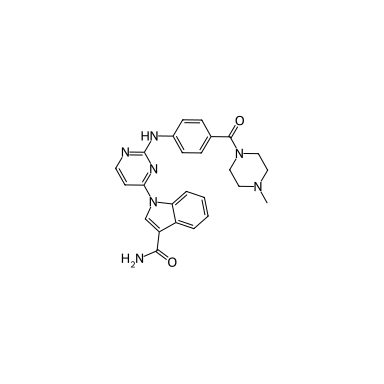 CN1CCN(C(=O)c2ccc(Nc3nccc(-n4cc(C(N)=O)c5ccccc54)n3)cc2)CC1